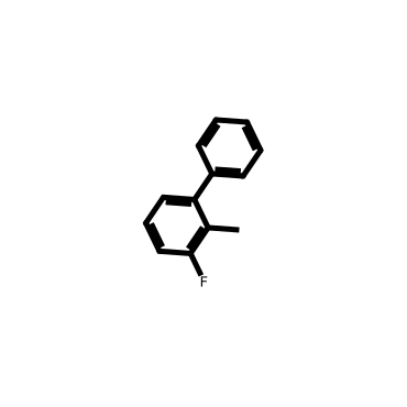 Cc1c(F)cccc1-c1ccccc1